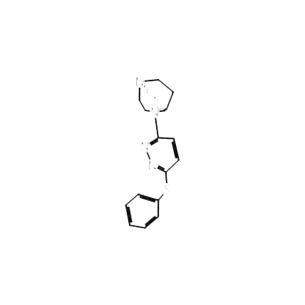 c1ccc(Sc2ccc(N3CCN4CCC3CC4)nn2)cc1